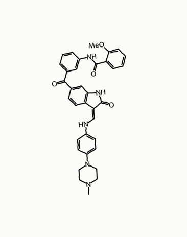 COc1ccccc1C(=O)Nc1cccc(C(=O)c2ccc3c(c2)NC(=O)C3=CNc2ccc(N3CCN(C)CC3)cc2)c1